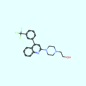 OCCN1CCN(c2cc(-c3cccc(C(F)(F)F)c3)c3ccccc3n2)CC1